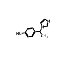 CC(c1ccc(C#N)cc1)n1ccnc1